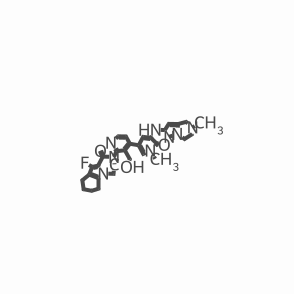 CN1CCn2nc(Nc3cc(-c4ccnc(N5CCn6c7c(c(F)c6C5=O)CCCC7)c4CO)cn(C)c3=O)cc2C1